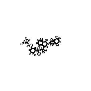 Cc1ccc(OC[C@@H]2CCN2C)cc1C(=O)NC1(c2cc(-c3nc4ccccc4o3)cc3ncccc23)CC1